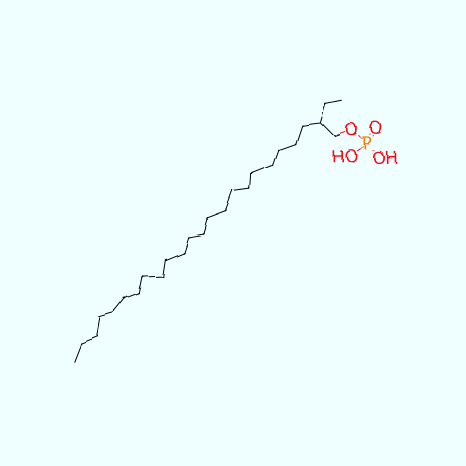 CCCCCCCCCCCCCCCCCCCCCCC(CC)COP(=O)(O)O